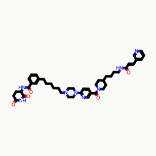 O=C(C=Cc1cccnc1)NCCCCC1CCN(C(=O)c2ccc(N3CCN(CCCCCCc4cccc(C(=O)NC5CCC(=O)NC5=O)c4)CC3)nc2)CC1